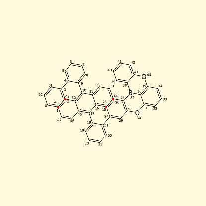 c1ccc(-c2ccccc2-c2c3ccccc3c(-c3ccccc3-c3ccc4c(c3)Oc3cccc5c3B4c3ccccc3O5)c3ccccc23)cc1